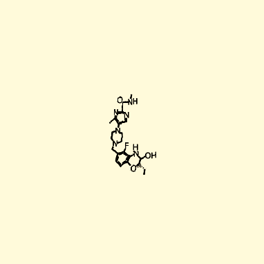 CC[C@@H]1Oc2ccc(CN3CCN(c4cnc(C(=O)NC)nc4C)CC3)c(F)c2NC1O